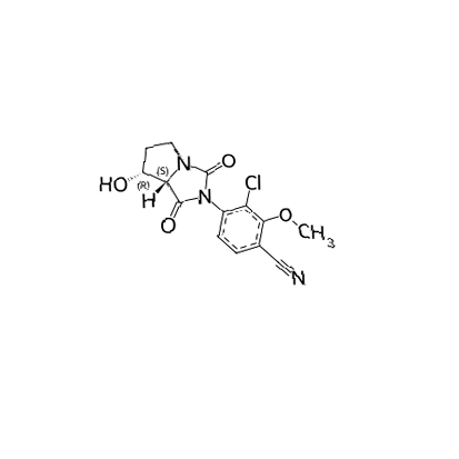 COc1c(C#N)ccc(N2C(=O)[C@@H]3[C@H](O)CCN3C2=O)c1Cl